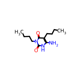 CCCCc1c(N)[nH]c(=O)n(CCCC)c1=O